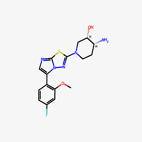 COc1cc(F)ccc1-c1cnc2sc(N3CC[C@@H](N)[C@@H](O)C3)nn12